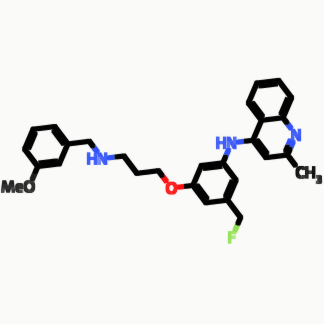 COc1cccc(CNCCCOc2cc(CF)cc(Nc3cc(C)nc4ccccc34)c2)c1